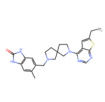 Cc1cc2[nH]c(=O)[nH]c2cc1CN1CCC2(CCN(c3ncnc4sc(CC(F)(F)F)cc34)C2)C1